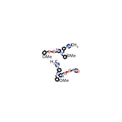 COc1cccc(CN(Cc2cccc(N3CCN(C)CC3)c2)c2ccnc(COCCOCCN3CCOCC3)c2)c1.COc1cccc(COCCOCc2cc(N(Cc3cccc(OC)c3)Cc3cccc(N4CCN(C)CC4)c3)ccn2)c1